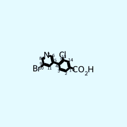 O=C(O)c1ccc(-c2cncc(Br)c2)c(Cl)c1